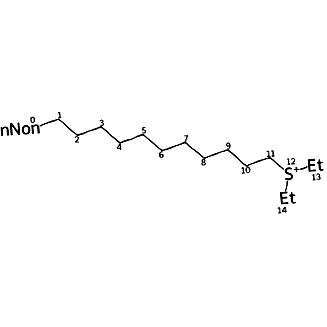 CCCCCCCCCCCCCCCCCCCC[S+](CC)CC